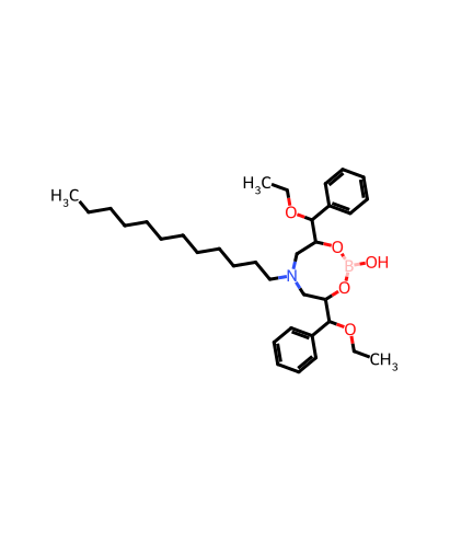 CCCCCCCCCCCCN1CC(C(OCC)c2ccccc2)OB(O)OC(C(OCC)c2ccccc2)C1